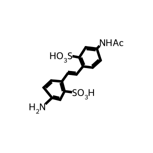 CC(=O)Nc1ccc(C=Cc2ccc(N)cc2S(=O)(=O)O)c(S(=O)(=O)O)c1